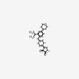 CC(C)c1cc(N2CCOCC2)ccc1CN1CCN(N2CCC(=O)C2=O)CC1